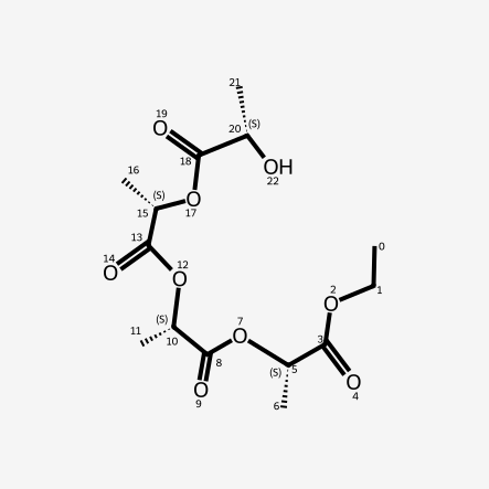 CCOC(=O)[C@H](C)OC(=O)[C@H](C)OC(=O)[C@H](C)OC(=O)[C@H](C)O